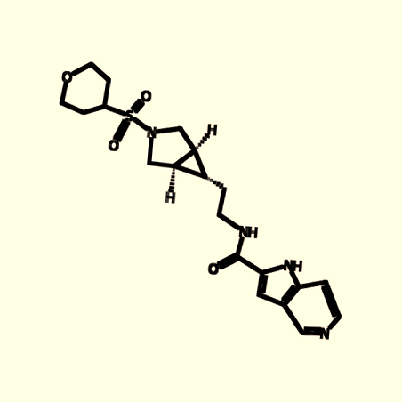 O=C(NCC[C@@H]1[C@H]2CN(S(=O)(=O)C3CCOCC3)C[C@@H]12)c1cc2cnccc2[nH]1